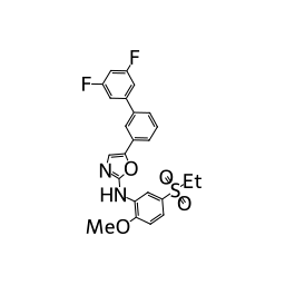 CCS(=O)(=O)c1ccc(OC)c(Nc2ncc(-c3cccc(-c4cc(F)cc(F)c4)c3)o2)c1